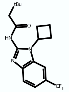 CC(C)(C)CC(=O)Nc1nc2ccc(C(F)(F)F)cc2n1C1CCC1